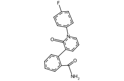 NC(=O)c1ccccc1-c1cccn(-c2ccc(F)cc2)c1=O